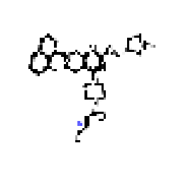 Cc1cccc2cccc(N3CCc4c(nc(OC[C@@H]5CCN(C)C5)nc4N4CCN(C(=O)/C=C/CF)CC4)C3)c12